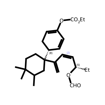 C=C(/C=C\[C@H](CC)OC=O)C1([C@H]2C=CC(OC(=O)OCC)=CC2)CCC(C)(C)C(C)C1